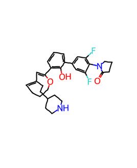 O=C1CCCN1c1c(F)cc(-c2cccc(/C3=C/C(CCC4CCNCC4)=C/CCCO3)c2O)cc1F